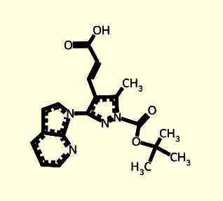 Cc1c(C=CC(=O)O)c(-n2ccc3cccnc32)nn1C(=O)OC(C)(C)C